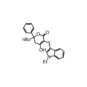 CCCCC1(c2ccccc2)CC(O)=C(Sc2cn(CC)c3ccccc23)C(=O)O1